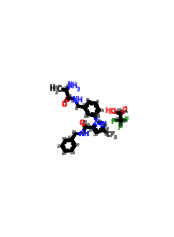 CC(N)C(=O)NCc1cccc(-n2nc(C(F)(F)F)cc2C(=O)NCc2ccccc2)c1.O=C(O)C(F)(F)F